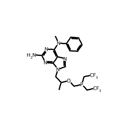 CC(Cn1cnc2c(N(C)c3ccccc3)nc(N)nc21)OCP(CC(F)(F)F)CC(F)(F)F